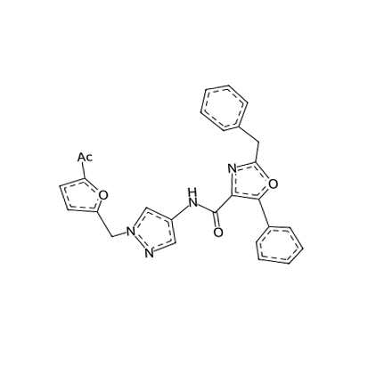 CC(=O)c1ccc(Cn2cc(NC(=O)c3nc(Cc4ccccc4)oc3-c3ccccc3)cn2)o1